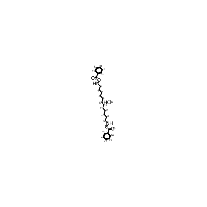 Cl.O=C(ONCCCCCCCCCCCCNOC(=O)c1ccccc1)c1ccccc1